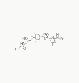 Cc1cc(-c2nc(-c3cc(C)c(OC[C@@H](O)CNC(=O)CO)c(C)c3)no2)nc(NC(C)C)n1